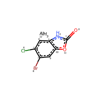 O=c1[nH]c2cc(Cl)c(Br)cc2o1.[AlH3]